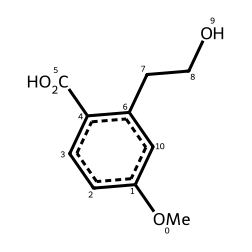 COc1ccc(C(=O)O)c(CCO)c1